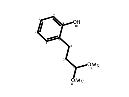 COC(CCc1ccccc1O)OC